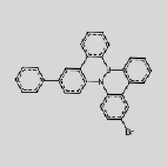 Brc1ccc2c(c1)-c1ccccc1B1c3ccccc3-c3cc(-c4ccccc4)ccc3N12